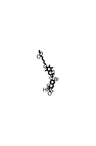 CCOC(=O)CCCCCOc1c(C)c(C)c2c(c1C)CCC(C)(COc1ccc(C=C3SC(=O)NC3=O)cc1Br)O2